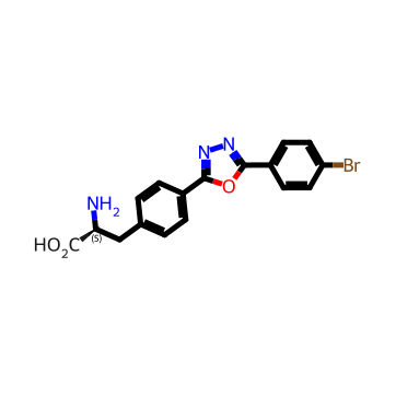 N[C@@H](Cc1ccc(-c2nnc(-c3ccc(Br)cc3)o2)cc1)C(=O)O